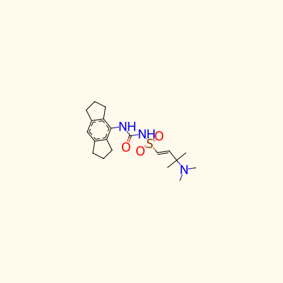 CN(C)C(C)(C)/C=C/S(=O)(=O)NC(=O)Nc1c2c(cc3c1CCC3)CCC2